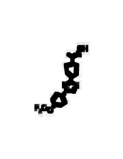 C/C(=N\O)c1ccc(-c2ncn(-c3ccc(OC(F)(F)F)cc3)n2)cc1